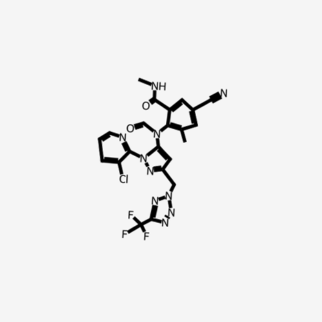 CNC(=O)c1cc(C#N)cc(C)c1N(C=O)c1cc(Cn2nnc(C(F)(F)F)n2)nn1-c1ncccc1Cl